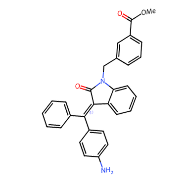 COC(=O)c1cccc(CN2C(=O)/C(=C(\c3ccccc3)c3ccc(N)cc3)c3ccccc32)c1